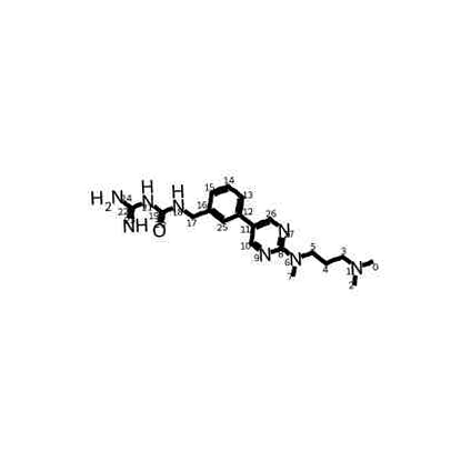 CN(C)CCCN(C)c1ncc(-c2cccc(CNC(=O)NC(=N)N)c2)cn1